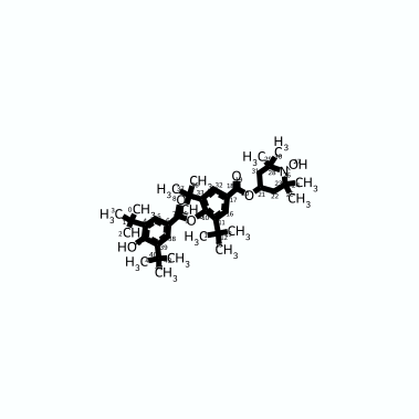 CC(C)(C)c1cc(C(=O)Oc2c(C(C)(C)C)cc(C(=O)OC3CC(C)(C)N(O)C(C)(C)C3)cc2C(C)(C)C)cc(C(C)(C)C)c1O